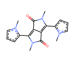 CN1C(=O)C2=C(c3cccn3C)N(C)C(=O)C2=C1c1cccn1C